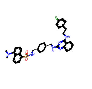 CN(C)c1cccc2c(S(=O)(=O)NC[C@H]3CC[C@H](CNc4nc(NCCc5ccc(F)cc5)c5ccccc5n4)CC3)cccc12